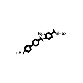 CCCCCCC(C)c1ccc(OC(=O)C2CCC(c3ccc(CCCC)cc3)CC2)c(C#N)c1